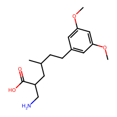 COc1cc(CCC(C)CC(CN)C(=O)O)cc(OC)c1